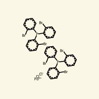 Brc1ccccc1P(c1ccccc1Br)c1ccccc1Br.Brc1ccccc1P(c1ccccc1Br)c1ccccc1Br.[Cl-].[Cl-].[Pd+2]